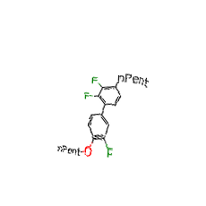 CCCCCOc1ccc(-c2ccc(CCCCC)c(F)c2F)cc1F